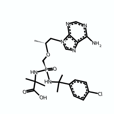 C[C@H](Cn1cnc2c(N)ncnc21)OC[P@](=O)(NC(C)(C)C(=O)O)NC(C)(C)c1ccc(Cl)cc1